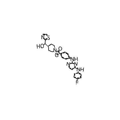 O=S(=O)(c1ccc(Nc2nccc(Nc3ccc(F)cc3)n2)cc1)N1CCC(C(O)c2nccs2)CC1